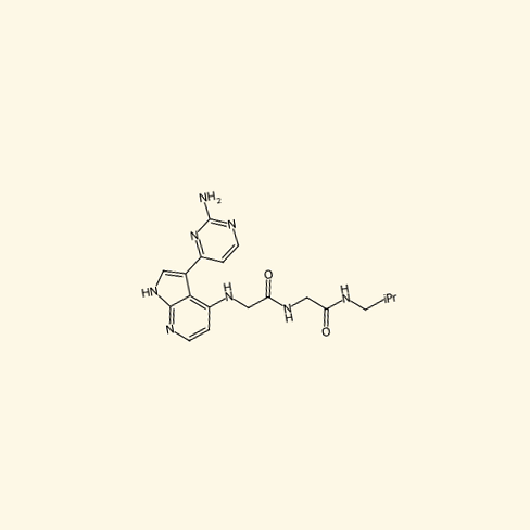 CC(C)CNC(=O)CNC(=O)CNc1ccnc2[nH]cc(-c3ccnc(N)n3)c12